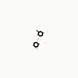 O=Cc1cc(Cl)cc(NSc2ccc(Cl)cc2O)c1O